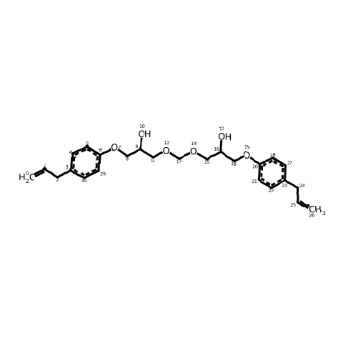 C=CCc1ccc(OCC(O)COCOCC(O)COc2ccc(CC=C)cc2)cc1